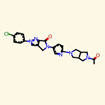 CC(=O)N1CC2CN(c3ccc(N4Cc5cn(-c6ccc(Cl)cc6)nc5C4=O)cn3)CC2C1